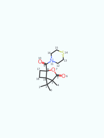 CC1(C)C2(C)C(=O)OC3(C(=O)N4CCSCC4)CCC312